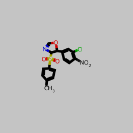 Cc1ccc(S(=O)(=O)C2N=COC2c2ccc([N+](=O)[O-])c(Cl)c2)cc1